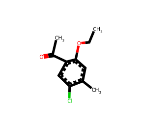 CCOc1cc(C)c(Cl)cc1C(C)=O